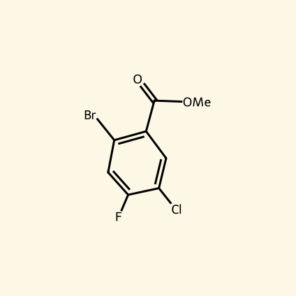 COC(=O)c1cc(Cl)c(F)cc1Br